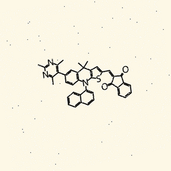 Cc1nc(C)c(-c2ccc3c(c2)C(C)(C)c2cc(C=C4C(=O)c5ccccc5C4=O)sc2N3c2cccc3ccccc23)c(C)n1